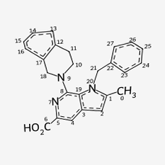 Cc1cc2cc(C(=O)O)nc(N3CCc4ccccc4C3)c2n1Cc1ccccc1